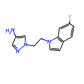 Nc1cnn(CCn2ccc3ccc(F)cc32)c1